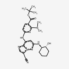 CN(C)c1nc(Nc2cc(N[C@@H]3CCCC[C@H]3O)nn3c(C#N)cnc23)ccc1C(=O)OC(C)(C)C